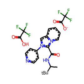 CC(NC(=O)c1n2ccccc2c[n+]1-c1ccncc1)C(C)(C)C.O=C(O)C(F)(F)F.O=C([O-])C(F)(F)F